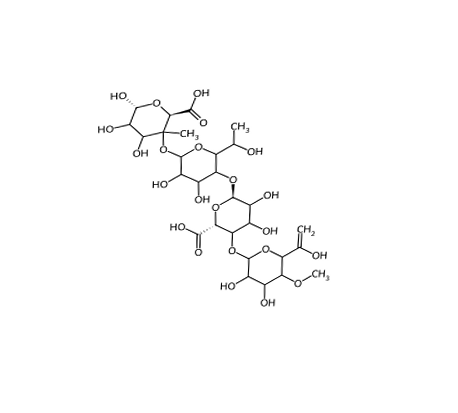 C=C(O)C1OC(OC2C(O)C(O)[C@H](OC3C(O)C(O)C(OC4(C)C(O)C(O)[C@H](O)O[C@H]4C(=O)O)OC3C(C)O)O[C@H]2C(=O)O)C(O)C(O)C1OC